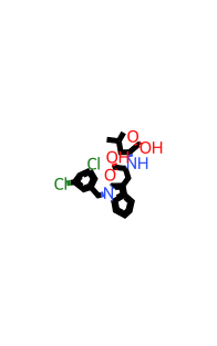 CC(C)CC(NC(Cc1cn(Cc2cc(Cl)cc(Cl)c2)c2ccccc12)C(=O)O)C(=O)O